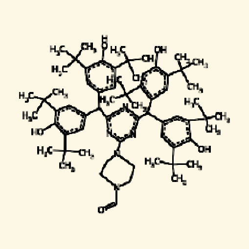 CC(C)(C)c1cc(C(c2cc(C(C)(C)C)c(O)c(C(C)(C)C)c2)c2nc(C(c3cc(C(C)(C)C)c(O)c(C(C)(C)C)c3)c3cc(C(C)(C)C)c(O)c(C(C)(C)C)c3)nc(N3CCN(C=O)CC3)n2)c(C(C)(C)C)cc1O